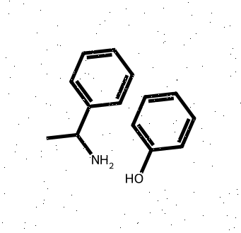 CC(N)c1ccccc1.Oc1ccccc1